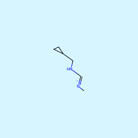 C/N=C/NCC1CC1